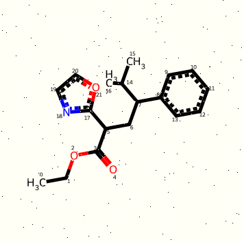 CCOC(=O)C(CC(c1ccccc1)C(C)C)c1ncco1